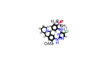 COc1cc2c(cc1Nc1ncc(Cl)c(Nc3ccccc3P(C)(C)=O)n1)CN1CCCCC1C2